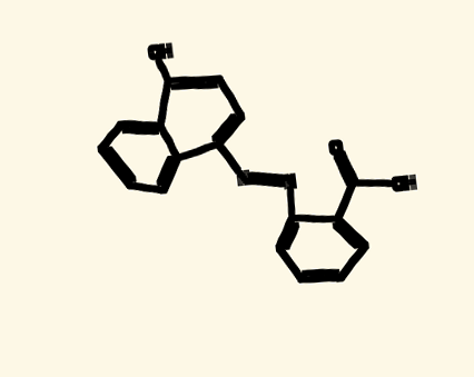 O=C(O)c1ccccc1/N=N/c1ccc(O)c2ccccc12